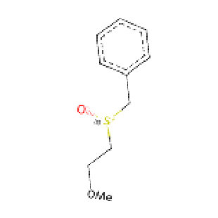 COCC[S@+]([O-])Cc1ccccc1